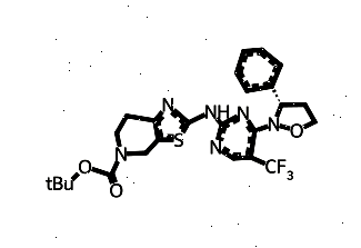 CC(C)(C)OC(=O)N1CCc2nc(Nc3ncc(C(F)(F)F)c(N4OCC[C@H]4c4ccccc4)n3)sc2C1